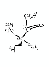 [2H][13C]([13CH3])([13CH3])[13C](=O)[13C](=O)O.[NaH]